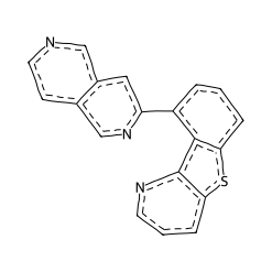 c1cnc2c(c1)sc1cccc(-c3cc4cnccc4cn3)c12